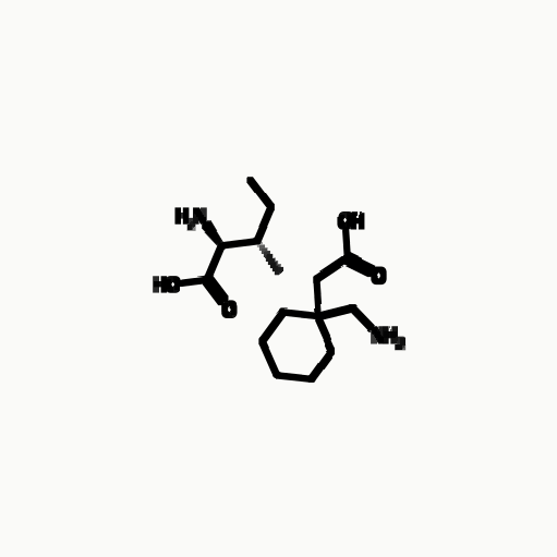 CC[C@H](C)[C@H](N)C(=O)O.NCC1(CC(=O)O)CCCCC1